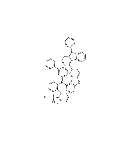 CC1(C)c2ccccc2-c2c(N(c3cccc(-c4ccccc4)c3)c3cccc4oc5ccc(-c6cccc7c6c6ccccc6n7-c6ccccc6)cc5c34)cccc21